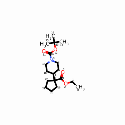 CCOC(=O)C1(C2CCN(C(=O)OC(C)(C)C)CC2)CCCC1